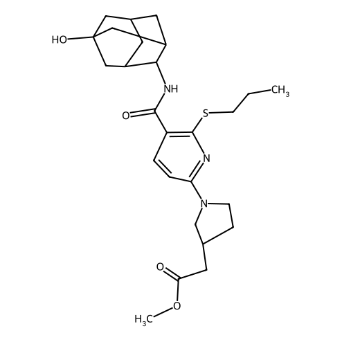 CCCSc1nc(N2CCC(CC(=O)OC)C2)ccc1C(=O)NC1C2CC3CC1CC(O)(C3)C2